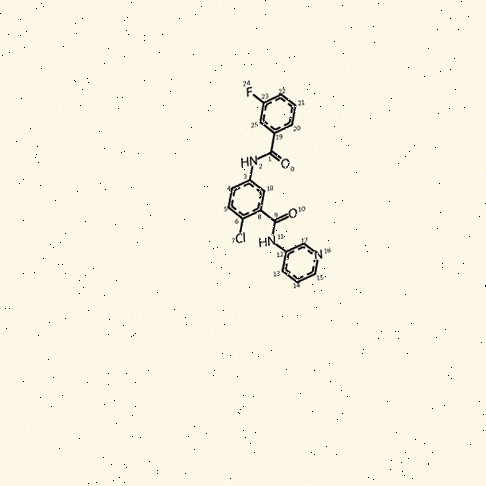 O=C(Nc1ccc(Cl)c(C(=O)Nc2cccnc2)c1)c1cccc(F)c1